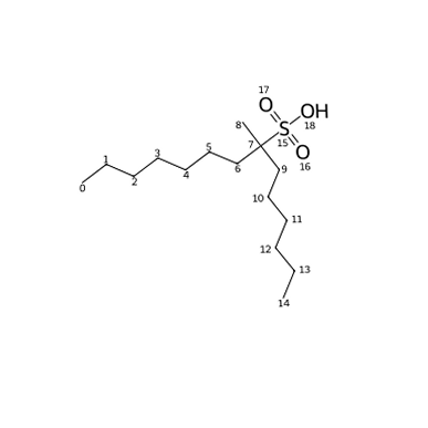 CCCCCCCC(C)(CCCCCC)S(=O)(=O)O